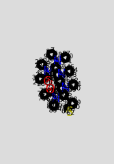 c1ccc(N(c2ccccc2)c2cc3c4c(c2)N(c2ccccc2)c2c(oc5ccccc25)B4c2cc4c(cc2N3c2ccccc2)N(c2ccccc2)c2cc(-c3cccc5sccc35)cc3c2B4c2oc4ccccc4c2N3c2ccccc2)cc1